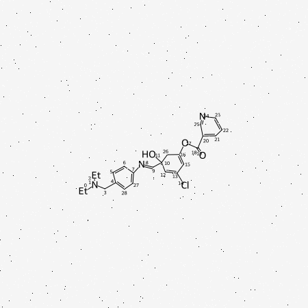 CCN(CC)Cc1ccc(N=CC2(O)C=C(Cl)C=C(OC(=O)c3cccnc3)C2)cc1